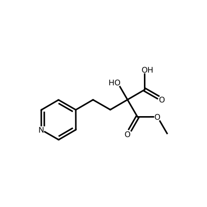 COC(=O)C(O)(CCc1ccncc1)C(=O)O